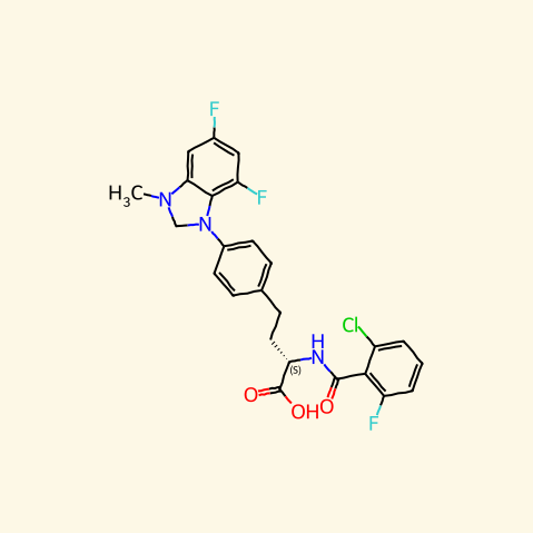 CN1CN(c2ccc(CC[C@H](NC(=O)c3c(F)cccc3Cl)C(=O)O)cc2)c2c(F)cc(F)cc21